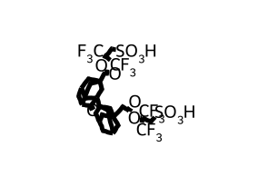 O=C(CC12CC3CC(C1)CC(C14CC5CC(CC(C(=O)OC(CS(=O)(=O)O)(C(F)(F)F)C(F)(F)F)(C5)C1)C4=O)(C3)C2)OC(CS(=O)(=O)O)(C(F)(F)F)C(F)(F)F